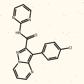 O=C(Nc1ncccn1)c1nn2cccnc2c1-c1ccc(Cl)cc1